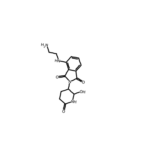 NCCNc1cccc2c1C(=O)N(C1CCC(=O)NC1O)C2=O